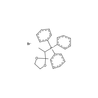 CC(C1(C)OCCO1)[P+](c1ccccc1)(c1ccccc1)c1ccccc1.[Br-]